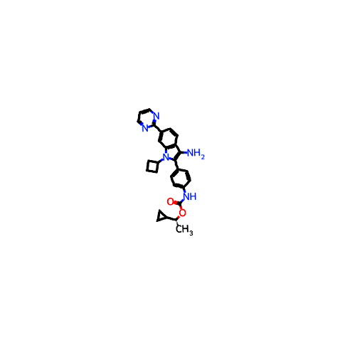 C[C@@H](OC(=O)Nc1ccc(-c2c(N)c3ccc(-c4ncccn4)cc3n2C2CCC2)cc1)C1CC1